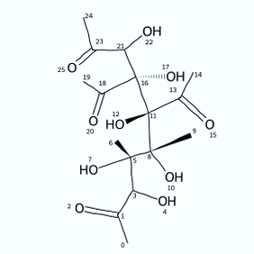 CC(=O)C(O)[C@](C)(O)[C@@](C)(O)[C@@](O)(C(C)=O)[C@@](O)(C(C)=O)C(O)C(C)=O